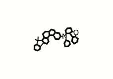 CC1(C)c2ccccc2-c2ccc3c(ccc4ccc5cc(N(c6ccccc6)c6cccc7oc8ccccc8c67)ccc5c43)c21